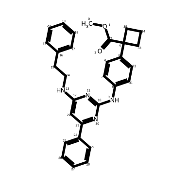 COC(=O)C1(c2ccc(Nc3nc(NCCc4ccccc4)cc(-c4ccccc4)n3)cc2)CCC1